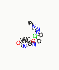 CNC(=O)C1CCN(Cc2cc(C#N)c3oc(-c4cccc(-c5cccc(-n6cc7c(n6)CN(C(C)C)CC7)c5Cl)c4C)nc3c2)C1